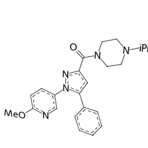 COc1ccc(-n2nc(C(=O)N3CCN(C(C)C)CC3)cc2-c2ccccc2)cn1